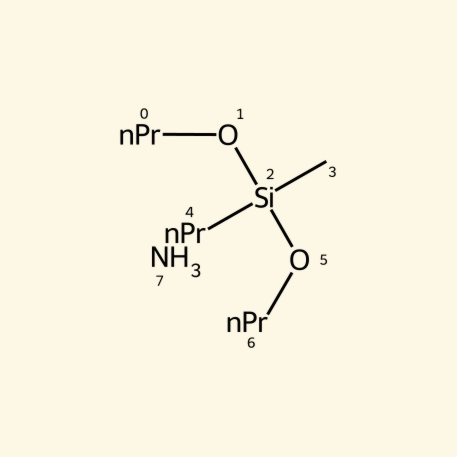 CCCO[Si](C)(CCC)OCCC.N